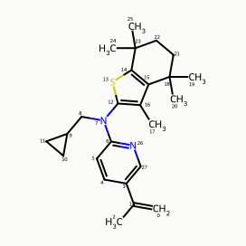 C=C(C)c1ccc(N(CC2CC2)c2sc3c(c2C)C(C)(C)CCC3(C)C)nc1